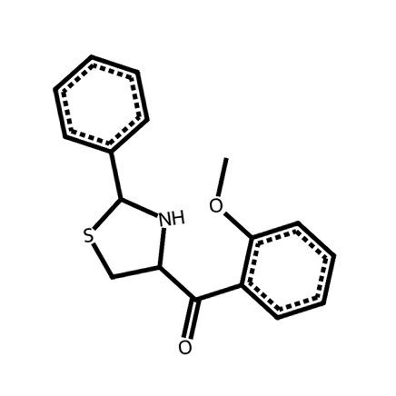 COc1ccccc1C(=O)C1CSC(c2ccccc2)N1